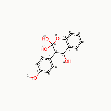 COc1ccc(C2C(O)c3ccccc3OC2(O)O)cc1